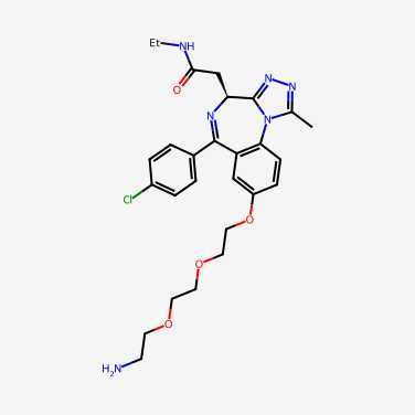 CCNC(=O)C[C@@H]1N=C(c2ccc(Cl)cc2)c2cc(OCCOCCOCCN)ccc2-n2c(C)nnc21